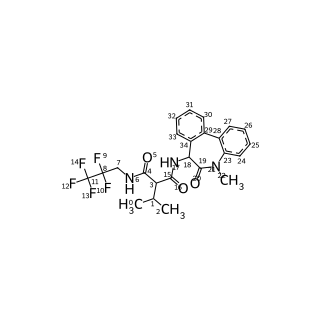 CC(C)C(C(=O)NCC(F)(F)C(F)(F)F)C(=O)NC1C(=O)N(C)c2ccccc2-c2ccccc21